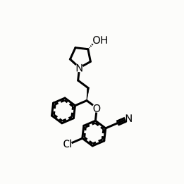 N#Cc1ccc(Cl)cc1O[C@H](CCN1CC[C@H](O)C1)c1ccccc1